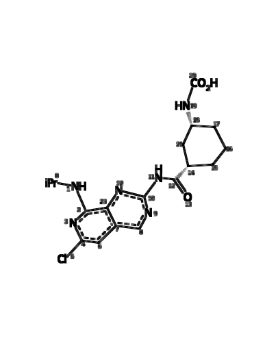 CC(C)Nc1nc(Cl)cc2cnc(NC(=O)[C@H]3CCC[C@@H](NC(=O)O)C3)nc12